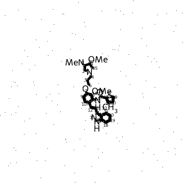 CN[C@@H]1CN(CCCOc2ccc(C=Cc3n[nH]c4ccccc34)c(NC(=O)c3sccc3C)c2OC)C[C@H]1OC